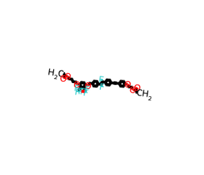 C=CC(=O)OCCCCOc1ccc(OCc2ccc(/C(F)=C(\F)c3ccc(C#Cc4ccc(OCCOC(=O)C=C)cc4)cc3)cc2)c(C(F)(F)F)c1C(F)(F)F